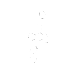 c1ccc(-c2ccc(-c3c4ccccc4c(-c4ccc(-c5ccccc5)cc4)c4ccccc34)cc2)cc1